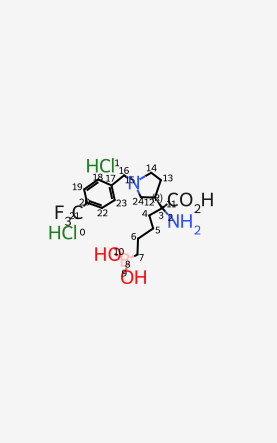 Cl.Cl.NC(CCCCB(O)O)(C(=O)O)[C@@H]1CCN(Cc2ccc(C(F)(F)F)cc2)C1